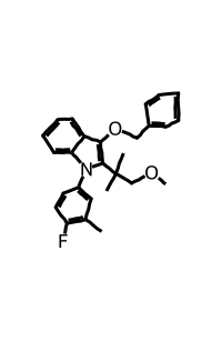 COCC(C)(C)c1c(OCc2ccccc2)c2ccccc2n1-c1ccc(F)c(C)c1